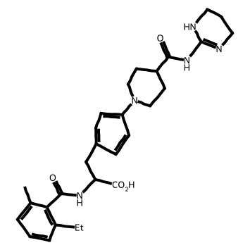 CCc1cccc(C)c1C(=O)NC(Cc1ccc(N2CCC(C(=O)NC3=NCCCN3)CC2)cc1)C(=O)O